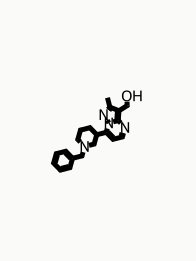 Cc1nn2c(C3CCCN(Cc4ccccc4)C3)ccnc2c1CO